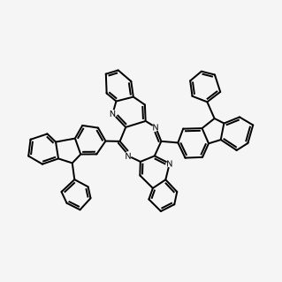 c1ccc(C2c3ccccc3-c3ccc(/C4=N/c5cc6ccccc6nc5/C(c5ccc6c(c5)C(c5ccccc5)c5ccccc5-6)=N\c5cc6ccccc6nc54)cc32)cc1